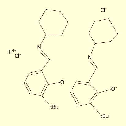 CC(C)(C)c1cccc(/C=N/C2CCCCC2)c1[O-].CC(C)(C)c1cccc(/C=N/C2CCCCC2)c1[O-].[Cl-].[Cl-].[Ti+4]